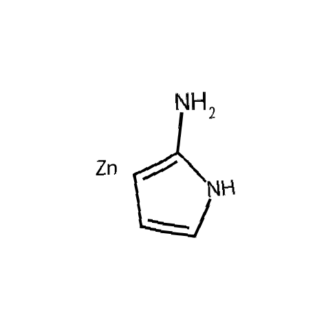 Nc1ccc[nH]1.[Zn]